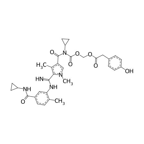 Cc1ccc(C(=O)NC2CC2)cc1NC(=N)c1c(C)c(C(=O)N(C(=O)OCOC(=O)Cc2ccc(O)cc2)C2CC2)cn1C